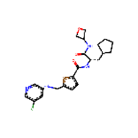 O=C(N[C@@H](CC1CCCC1)C(=O)NC1COC1)c1ccc(CNc2cncc(Cl)c2)s1